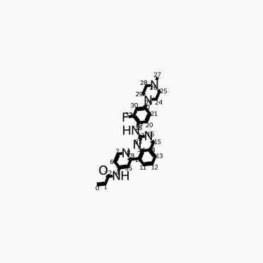 C=CC(=O)Nc1ccnc(-c2cccc3cnc(Nc4ccc(N5CCN(C)CC5)cc4F)nc23)c1